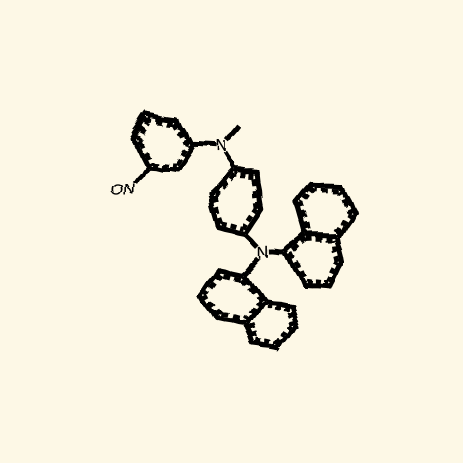 CN(c1ccc(N(c2cccc3ccccc23)c2cccc3ccccc23)cc1)c1cccc(N=O)c1